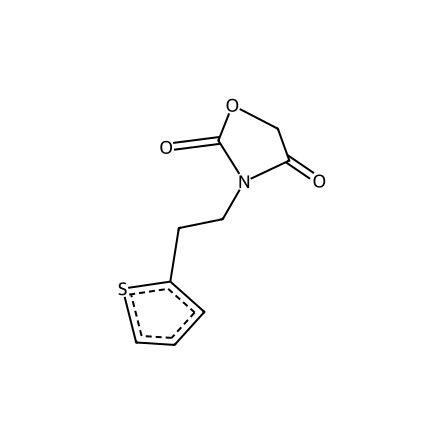 O=C1COC(=O)N1CCc1cccs1